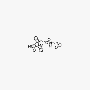 O=C(NCCCN1CCCC1=O)OCC1Cn2c3ccccc3c3c4c(c5c6ccccc6n(c5c32)C1)C(=O)NC4